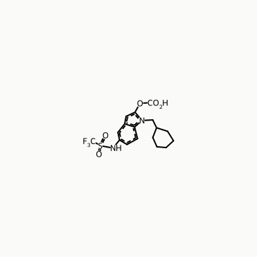 O=C(O)Oc1cc2cc(NS(=O)(=O)C(F)(F)F)ccc2n1CC1CCCCC1